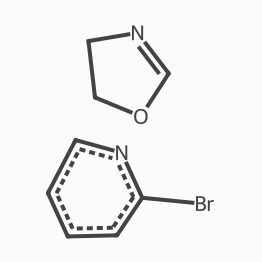 Brc1ccccn1.C1=NCCO1